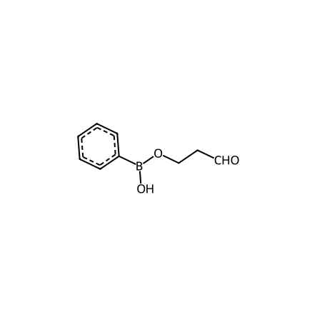 O=CCCOB(O)c1ccccc1